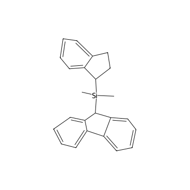 C[Si](C)(C1CCc2ccccc21)C1c2ccccc2-c2ccccc21